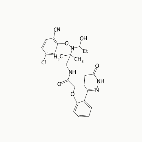 CCC(O)N(Oc1cc(Cl)ccc1C#N)C(C)(C)CNC(=O)COc1ccccc1C1=NNC(=O)CC1